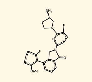 COc1cccc(F)c1-c1cccc2c1CN(c1ccc(F)c(N3CC[C@@H](N)C3)n1)C2=O